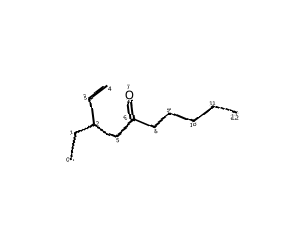 [CH2]CC(CC)CC(=O)CCCCC